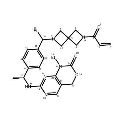 C=CC(=O)N1CC2(C1)CN(C(CC)c1ccc([C@H](C)Nc3ncc4c(n3)N(CC)C(=O)OC4)cc1)C2